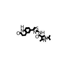 Cc1nn(C(C)C)cc1C(=O)Nc1nc(-c2ccc3c(c2)CCC(=O)N3)cs1